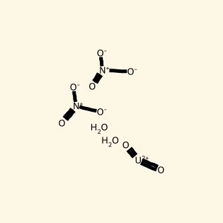 O.O.O=[N+]([O-])[O-].O=[N+]([O-])[O-].[O]=[U+2]=[O]